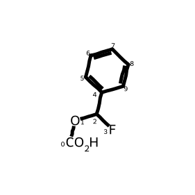 O=C(O)OC(F)c1ccccc1